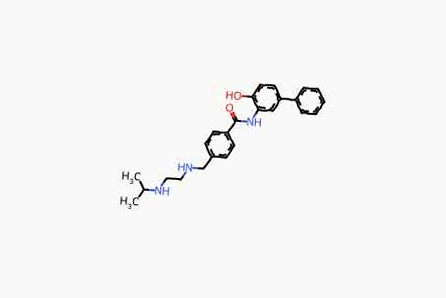 CC(C)NCCNCc1ccc(C(=O)Nc2cc(-c3ccccc3)ccc2O)cc1